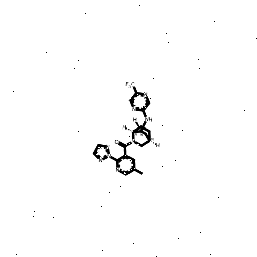 Cc1cnc(-n2nccn2)c(C(=O)N2C[C@@H]3CC[C@H]2[C@H](Nc2cnc(C(F)(F)F)cn2)C3)c1